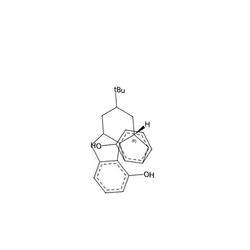 CC(C)(C)C1CC2Cc3cccc(O)c3C23c2c(O)cccc2C[C@H]3C1